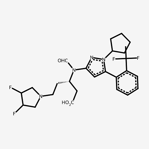 CC(F)(F)c1ccccc1-c1cc(N(C=O)[C@@H](CCN2CC(F)C(F)C2)CC(=O)O)nn1C1CCCC1